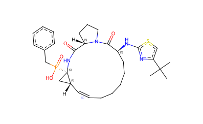 CC(C)(C)c1csc(N[C@H]2CCCCC/C=C\[C@@H]3C[C@@]3(P(=O)(O)Cc3ccccc3)NC(=O)[C@@H]3CCCN3C2=O)n1